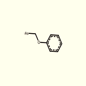 [As]COc1ccccc1